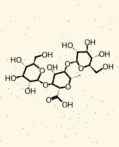 C[C@@H]1O[C@H](C(=O)O)[C@@H](O[C@@H]2O[C@H](CO)[C@@H](O)[C@H](O)[C@H]2O)[C@H](O)[C@H]1O[C@@H]1O[C@H](CO)[C@@H](O)[C@H](O)[C@H]1O